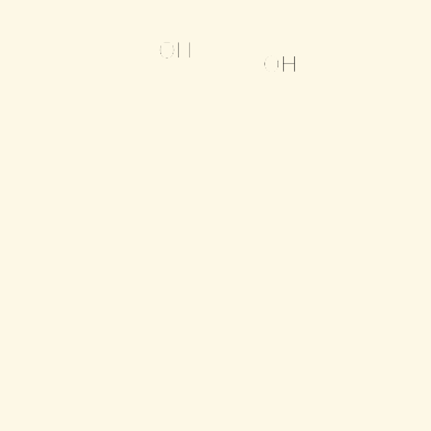 Cc1ccc(C(CO)CO)cc1